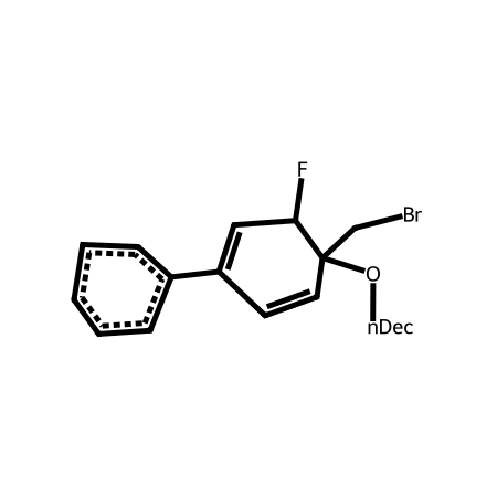 CCCCCCCCCCOC1(CBr)C=CC(c2ccccc2)=CC1F